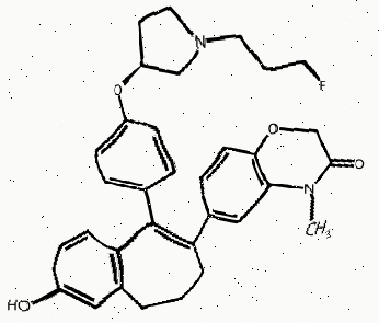 CN1C(=O)COc2ccc(C3=C(c4ccc(O[C@H]5CCN(CCCF)C5)cc4)c4ccc(O)cc4CCC3)cc21